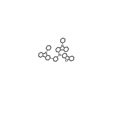 c1ccc(-n2c3ccccc3c3ccc(-c4cccc(N(c5ccc6c(c5)oc5ccccc56)c5cccc6c5c5ccccc5n6-c5ccccc5)c4)cc32)cc1